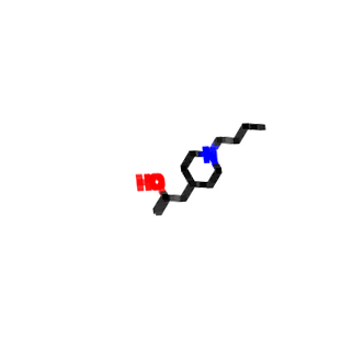 C=C(O)CC1CCN(CCCC)CC1